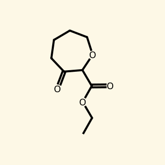 CCOC(=O)C1OCCCCC1=O